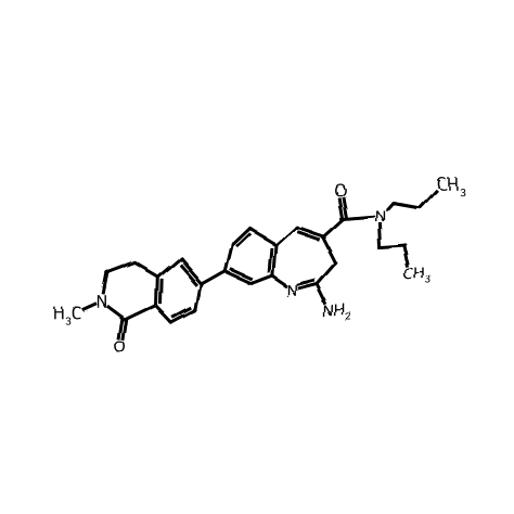 CCCN(CCC)C(=O)C1=Cc2ccc(-c3ccc4c(c3)CCN(C)C4=O)cc2N=C(N)C1